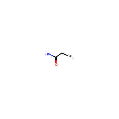 [NH]C(=O)C[SiH3]